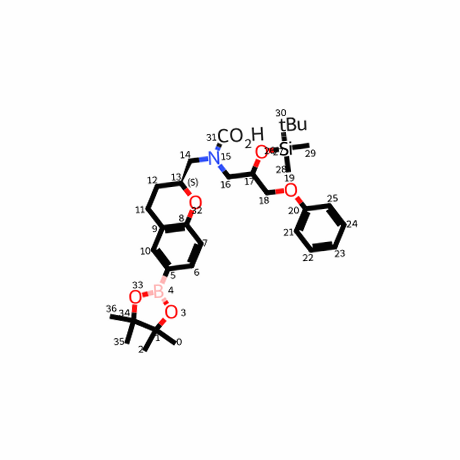 CC1(C)OB(c2ccc3c(c2)CC[C@@H](CN(CC(COc2ccccc2)O[Si](C)(C)C(C)(C)C)C(=O)O)O3)OC1(C)C